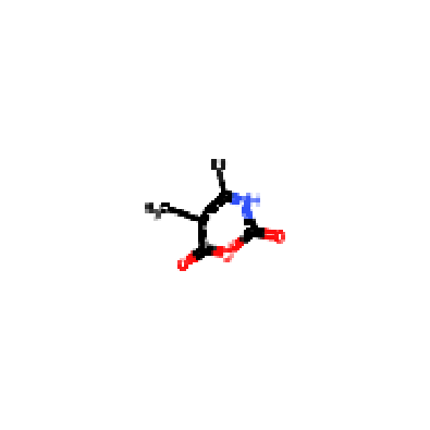 CCc1[nH]c(=O)oc(=O)c1C